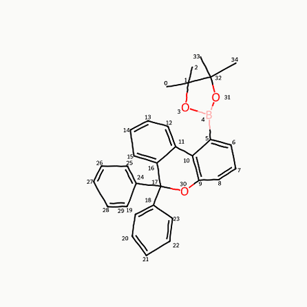 CC1(C)OB(c2cccc3c2-c2ccccc2C(c2ccccc2)(c2ccccc2)O3)OC1(C)C